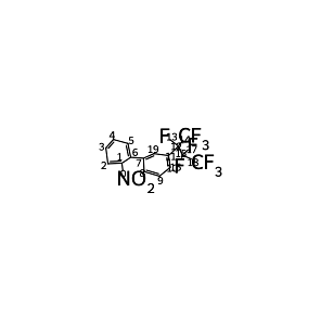 O=[N+]([O-])c1ccccc1-c1[c]ccc(C(F)(C(F)(F)F)C(F)(F)C(F)(F)F)c1